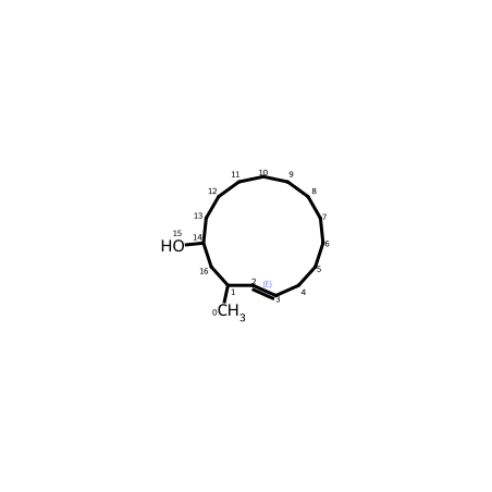 CC1/C=C/CCCCCCCCCCC(O)C1